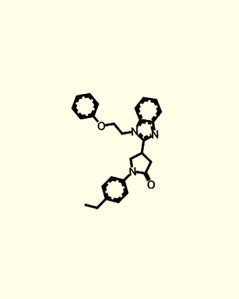 CCc1ccc(N2CC(c3nc4ccccc4n3CCOc3ccccc3)CC2=O)cc1